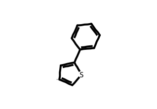 [c]1csc(-c2ccccc2)c1